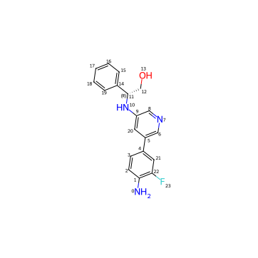 Nc1ccc(-c2cncc(N[C@@H](CO)c3ccccc3)c2)cc1F